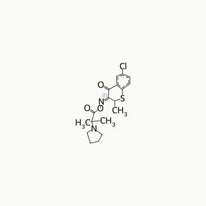 CC1Sc2ccc(Cl)cc2C(=O)/C1=N/OC(=O)C(C)(C)N1CCCC1